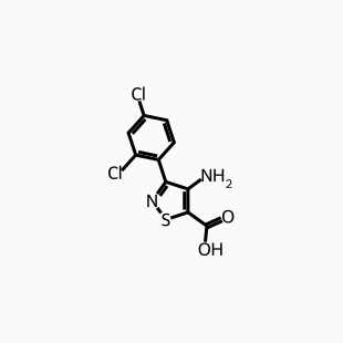 Nc1c(-c2ccc(Cl)cc2Cl)nsc1C(=O)O